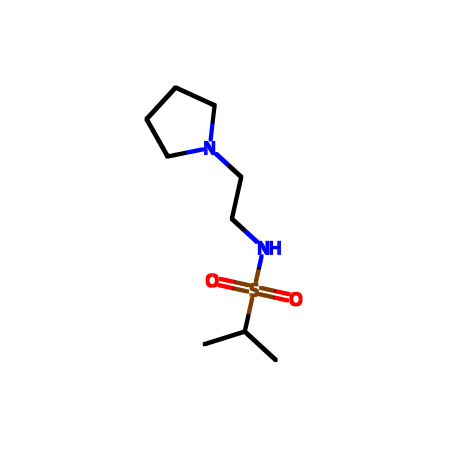 CC(C)S(=O)(=O)NCCN1CCCC1